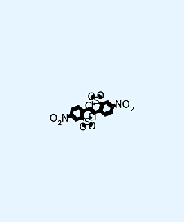 O=[N+]([O-])c1ccc(C=Cc2ccc([N+](=O)[O-])cc2S(=O)(=O)Cl)c(S(=O)(=O)Cl)c1